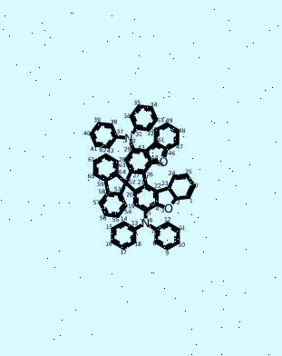 C1=CC2Oc3c(N(c4ccccc4)c4ccccc4)cc4c(c3C2C=C1)-c1c(cc(N(c2ccccc2)c2ccccc2)c2c1oc1ccccc12)C41c2ccccc2-c2ccccc21